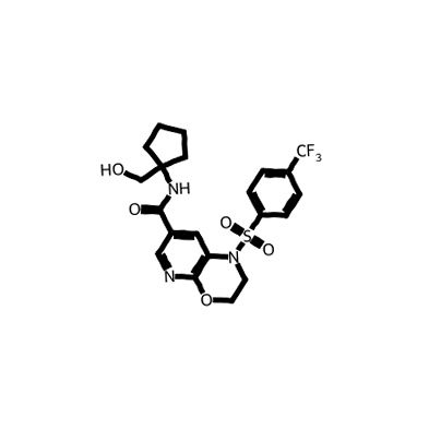 O=C(NC1(CO)CCCC1)c1cnc2c(c1)N(S(=O)(=O)c1ccc(C(F)(F)F)cc1)CCO2